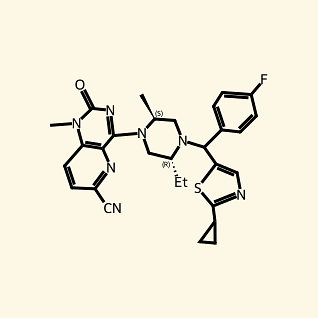 CC[C@@H]1CN(c2nc(=O)n(C)c3ccc(C#N)nc23)[C@@H](C)CN1C(c1ccc(F)cc1)c1cnc(C2CC2)s1